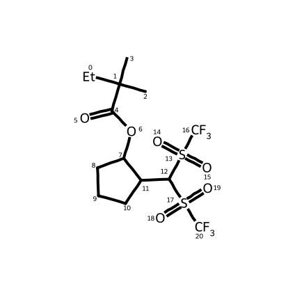 CCC(C)(C)C(=O)OC1CCCC1C(S(=O)(=O)C(F)(F)F)S(=O)(=O)C(F)(F)F